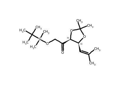 CC(C)=C[C@@H]1OC(C)(C)O[C@@H]1C(=O)CO[Si](C)(C)C(C)(C)C